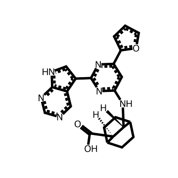 O=C(O)[C@@H]1C2CCC(CC2)[C@H]1Nc1cc(-c2ccco2)nc(-c2c[nH]c3ncncc23)n1